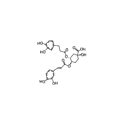 O=C(/C=C/c1ccc(O)c(O)c1)O[C@@H]1CC[C@@](O)(C(=O)O)C[C@H]1OC(=O)CCc1ccc(O)c(O)c1